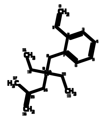 C=Cc1ccccc1C[N+](CC)(CC)CC(=C)C